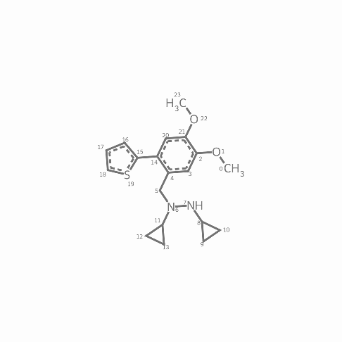 COc1cc(CN(NC2CC2)C2CC2)c(-c2cccs2)cc1OC